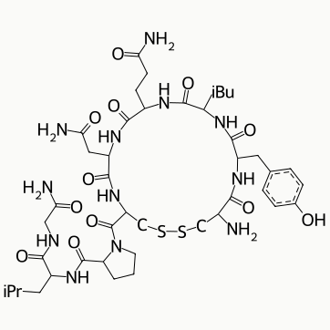 CCC(C)C1NC(=O)C(Cc2ccc(O)cc2)NC(=O)C(N)CSSCC(C(=O)N2CCCC2C(=O)NC(CC(C)C)C(=O)NCC(N)=O)NC(=O)C(CC(N)=O)NC(=O)C(CCC(N)=O)NC1=O